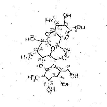 CC1[C@H](O[C@H]2C(CO)O[C@@H](O[C@@H]3C(CO)O[C@@H](C(C)(C)C)C(O)[C@H]3O)C(O)[C@H]2C)OC(CO)[C@H](O)[C@@H]1O